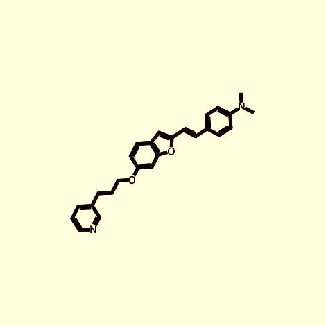 CN(C)c1ccc(C=Cc2cc3ccc(OCCCc4cccnc4)cc3o2)cc1